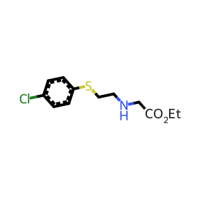 CCOC(=O)CNCCSc1ccc(Cl)cc1